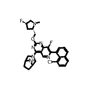 CN1C[C@H](F)C[C@H]1COc1nc(N2CC3CCC(C2)N3)c2cnc(-c3cccc4cccc(Cl)c34)c(F)c2n1